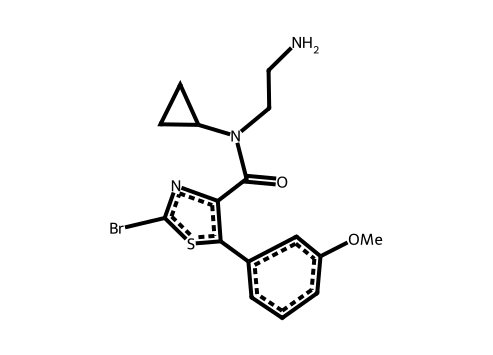 COc1cccc(-c2sc(Br)nc2C(=O)N(CCN)C2CC2)c1